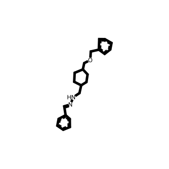 C(=N\NCC1CCC(COCc2ccccc2)CC1)/c1ccccc1